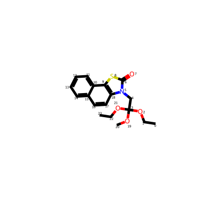 CCOC(Cn1c(=O)sc2c3ccccc3ccc21)(OC)OCC